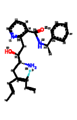 C=CC(F)=C(C=CC)C[C@@H](N)[C@@H](O)Cc1ncccc1C(=O)N[C@H](C)c1ccccc1